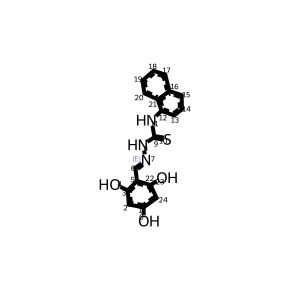 Oc1cc(O)c(/C=N/NC(=S)Nc2cccc3ccccc23)c(O)c1